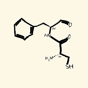 N[C@@H](CS)C(=O)N[C@H]([C]=O)Cc1ccccc1